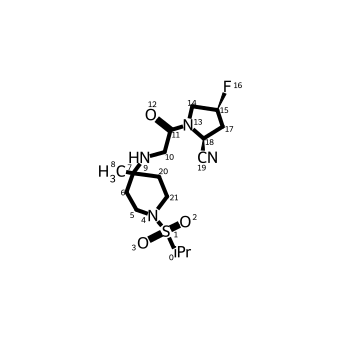 CC(C)S(=O)(=O)N1CCC(C)(NCC(=O)N2C[C@@H](F)C[C@H]2C#N)CC1